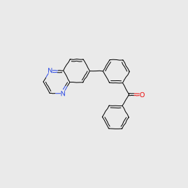 O=C(c1ccccc1)c1cccc(-c2ccc3nccnc3c2)c1